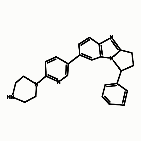 c1ccc(C2CCc3nc4ccc(-c5ccc(N6CCNCC6)nc5)cc4n32)cc1